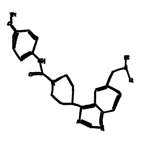 CCN(CC)Cc1ccc2ncnc(C3CCN(C(=O)Nc4ccc(OC(C)C)cc4)CC3)c2c1